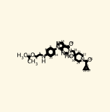 CC(C)OCCNc1ccc(-n2ncc3c(=O)n(CC4(O)CCN(C(=O)C5CC5)CC4)cnc32)cc1